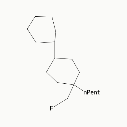 CCCCCC1(CF)CCC(C2CCCCC2)CC1